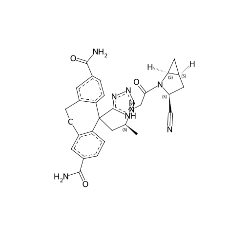 C[C@@H](CC1(c2nnc[nH]2)c2ccc(C(N)=O)cc2CCc2cc(C(N)=O)ccc21)NCC(=O)N1[C@H](C#N)C[C@@H]2C[C@@H]21